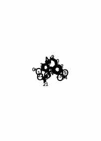 COC1=C[C@]23CCCN2CCc2cc4c(cc2[C@@H]3[C@@H]1OC(C)=O)OCO4